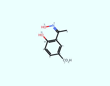 C/C(=N/O)c1cc(C(=O)O)ccc1O